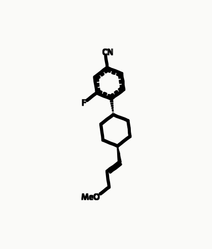 COCC=C[C@H]1CC[C@H](c2ccc(C#N)cc2F)CC1